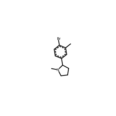 Cc1cc(C2CCCN2C)ccc1Br